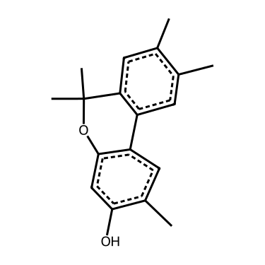 Cc1cc2c(cc1C)C(C)(C)Oc1cc(O)c(C)cc1-2